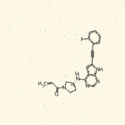 C=CC(=O)N1CC[C@@H](Nc2ncnc3[nH]c(C#Cc4ccccc4F)cc23)C1